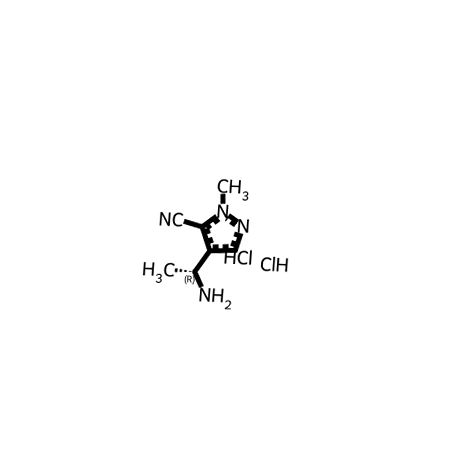 C[C@@H](N)c1cnn(C)c1C#N.Cl.Cl